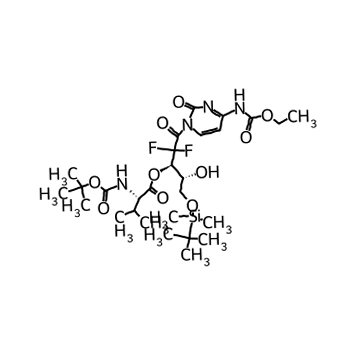 CCOC(=O)Nc1ccn(C(=O)C(F)(F)[C@H](OC(=O)[C@@H](NC(=O)OC(C)(C)C)C(C)C)[C@H](O)CO[Si](C)(C)C(C)(C)C)c(=O)n1